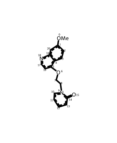 COc1ccc2c(OCCn3ccccc3=O)ccnc2c1